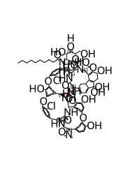 CCCCCCCCCC(=O)NC1C(O)[C@H](O)C(CO)O[C@H]1O[C@@H]1c2ccc(c(Cl)c2)Oc2cc3cc(c2O)Oc2ccc(cc2Cl)C[C@H]2NC(=O)[C@H](N(C)C)c4ccc(O)c(c4)Oc4cc(O)cc(c4)C(NC2=O)C(=O)N[C@H]3C(=O)N[C@H]2C(=O)N[C@@H]1C(=O)N[C@H](C(=O)O)C1=CC(O)CC3=C1C1CC2=CC=C1C3(O)O